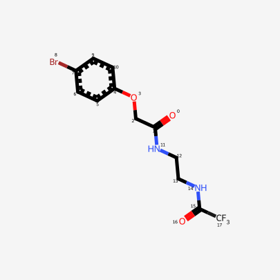 O=C(COc1ccc(Br)cc1)NCCNC(=O)C(F)(F)F